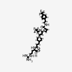 N=C(N)NCCCC(NC(=O)CCC1CCN(c2cc(N3CC[C@H]3C(=O)NCCc3ccc(C(F)(F)F)cc3)nc(C(F)(F)F)n2)CC1)C(=O)O